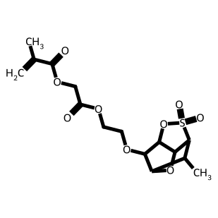 C=C(C)C(=O)OCC(=O)OCCOC1C2OC3C1OS(=O)(=O)C3C2C